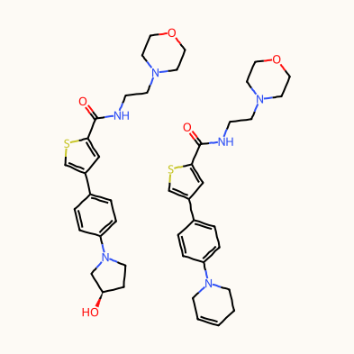 O=C(NCCN1CCOCC1)c1cc(-c2ccc(N3CC=CCC3)cc2)cs1.O=C(NCCN1CCOCC1)c1cc(-c2ccc(N3CC[C@@H](O)C3)cc2)cs1